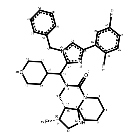 O=C(N1C[CH]CCC1)N(C[C@@H]1CNC[C@@H]1F)C(c1nc(-c2cc(F)ccc2F)cn1Cc1ccccc1)C1CCOCC1